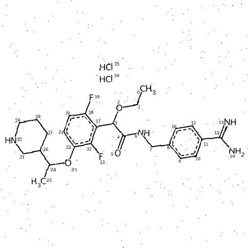 CCOC(C(=O)NCc1ccc(C(=N)N)cc1)c1c(F)ccc(OC(C)C2CCCNC2)c1F.Cl.Cl